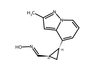 Cc1cc2c([C@@H]3C[C@H]3C=NO)cccn2n1